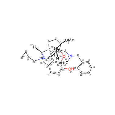 CO[C@]12CC[C@@]3(C[C@H]1CN(C)Cc1ccccc1)[C@H]1Cc4ccc(O)c5c4[C@@]3(CCN1CC1CC1)[C@H]2O5